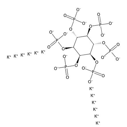 O=P([O-])([O-])O[C@H]1[C@H](OP(=O)([O-])[O-])[C@@H](OP(=O)([O-])[O-])[C@H](OP(=O)([O-])[O-])[C@@H](OP(=O)([O-])[O-])[C@H]1OP(=O)([O-])[O-].[K+].[K+].[K+].[K+].[K+].[K+].[K+].[K+].[K+].[K+].[K+].[K+]